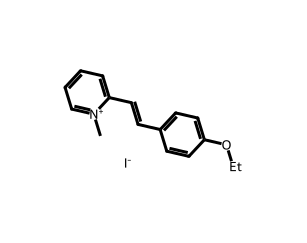 CCOc1ccc(C=Cc2cccc[n+]2C)cc1.[I-]